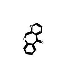 O=C1C2=CC=CNC2=COc2ccccc21